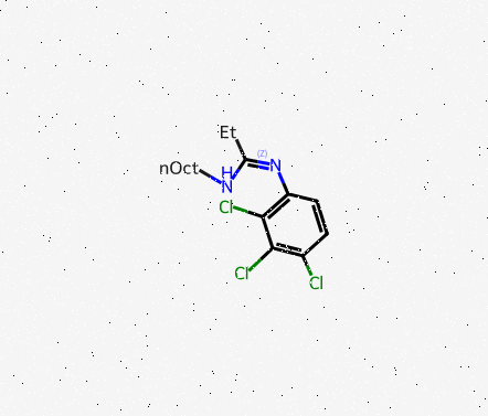 CCCCCCCCN/C(CC)=N\c1ccc(Cl)c(Cl)c1Cl